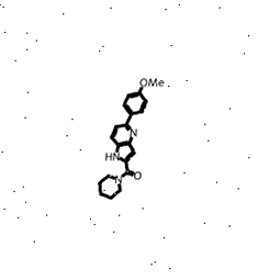 COc1ccc(-c2ccc3[nH]c(C(=O)N4CCCCC4)cc3n2)cc1